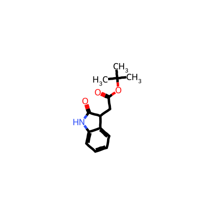 CC(C)(C)OC(=O)CC1C(=O)Nc2ccccc21